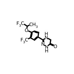 CC(Oc1ccc(C2=NNC(=O)CN2)cc1C(F)(F)F)C(F)(F)F